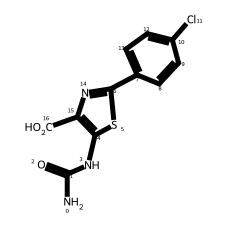 NC(=O)Nc1sc(-c2ccc(Cl)cc2)nc1C(=O)O